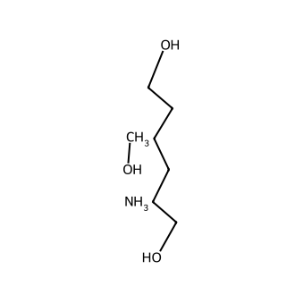 CO.N.OCCCCCCO